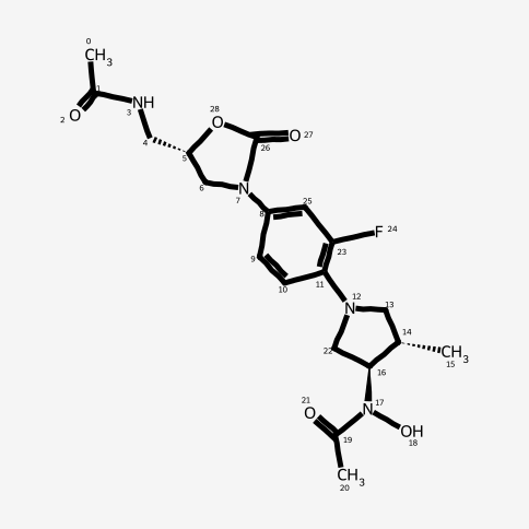 CC(=O)NC[C@H]1CN(c2ccc(N3C[C@H](C)[C@@H](N(O)C(C)=O)C3)c(F)c2)C(=O)O1